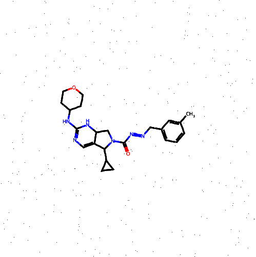 Cc1cccc(CN=NC(=O)N2CC3NC(NC4CCOCC4)=NC=C3C2C2CC2)c1